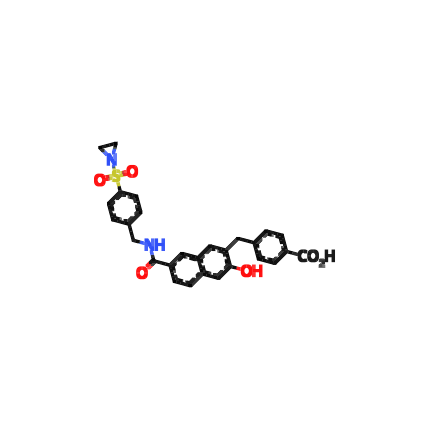 O=C(O)c1ccc(Cc2cc3cc(C(=O)NCc4ccc(S(=O)(=O)N5CC5)cc4)ccc3cc2O)cc1